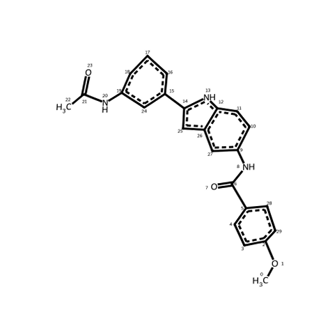 COc1ccc(C(=O)Nc2ccc3[nH]c(-c4cccc(NC(C)=O)c4)cc3c2)cc1